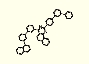 c1ccc(-c2cccc(-c3ccc(-c4nc(-c5cccc(-c6cccc(-c7cccc8ccccc78)c6)c5)c5ccc6ccccc6c5n4)cc3)c2)cc1